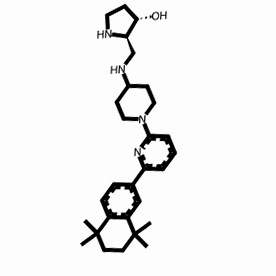 CC1(C)CCC(C)(C)c2cc(-c3cccc(N4CCC(NC[C@H]5NCC[C@@H]5O)CC4)n3)ccc21